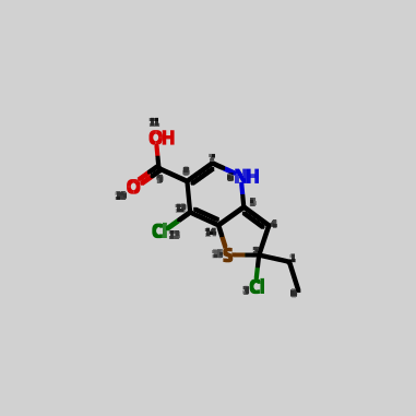 CCC1(Cl)C=C2NC=C(C(=O)O)C(Cl)=C2S1